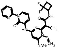 C=NN1C(NC)=CC(Nc2cccn(-c3ccccn3)c2=O)=N/C1=C(/C)C(=O)N[C@@H]1CCC1(F)F